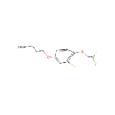 CCCCCCCCCCCCOc1ccc(OC=C(F)F)c(F)c1